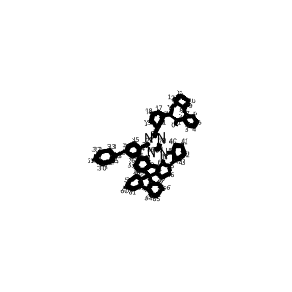 CC1c2ccccc2-c2ccccc2CC1c1cccc(-c2nc(-c3ccc(-c4ccccc4)cc3)nc(N3c4ccccc4C4C=CC5=C(c6ccccc6C56c5ccccc5-c5ccccc56)C43)n2)c1